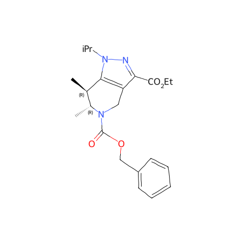 CCOC(=O)c1nn(C(C)C)c2c1CN(C(=O)OCc1ccccc1)[C@H](C)[C@H]2C